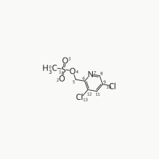 CS(=O)(=O)OCc1ncc(Cl)cc1Cl